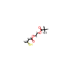 CCC(C)(C)C(=O)OCCOC(=O)CC(C)S